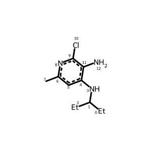 CCC(CC)Nc1cc(C)nc(Cl)c1N